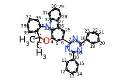 CC1(C)Oc2cc(-c3nc(-c4ccccc4)nc(-c4ccccc4)n3)cc3c4ccccc4n(c23)-c2ccccc21